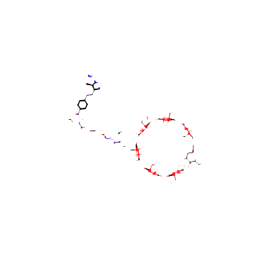 CCSCC1O[C@@H]2O[C@@H]3C(CO)O[C@@H](O[C@@H]4C(CO)O[C@@H](O[C@@H]5C(CSC[C@@H](NC(C)(C)CC)C(=O)NCCOCCOC(=O)[C@H](CCC(=O)O)NC(=O)c6ccc(CCc7c[nH]c8nc(N)[nH]c(=O)c78)cc6)O[C@@H](O[C@@H]6C(CO)O[C@H](O[C@@H]7C(CO)O[C@H](O[C@@H]8C(CO)O[C@H](O[C@H]1C(O)C2O)C(O)C8O)C(O)C7O)C(O)C6O)C(O)C5O)C(O)C4O)C(O)[C@H]3O